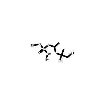 CCOP(=S)(NC(C)C)SC(C)SC(C)(C#N)CCl